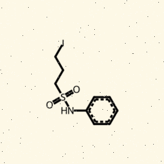 O=S(=O)(CCCI)Nc1ccccc1